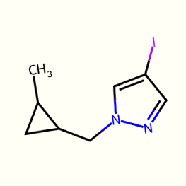 CC1CC1Cn1cc(I)cn1